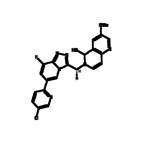 COc1cnc2c(c1)C(O)N([C@H](C)c1nnc3c(F)cc(-c4ccc(Cl)cn4)cn13)C=C2